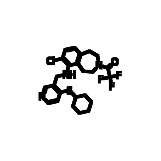 O=C(N1CCc2ccc(Cl)c(NCc3cnccc3SC3CCCCC3)c2CC1)C(F)(F)F